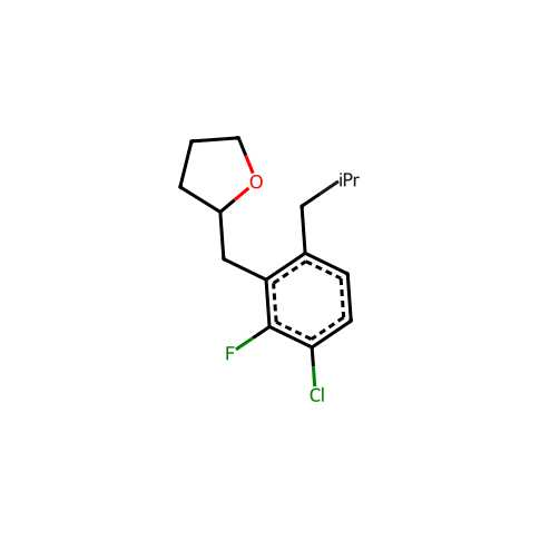 CC(C)Cc1ccc(Cl)c(F)c1CC1CCCO1